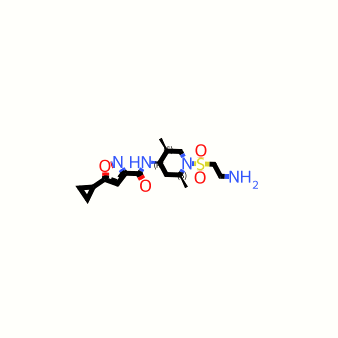 C[C@H]1CN(S(=O)(=O)CCN)[C@@H](C)C[C@H]1NC(=O)c1cc(C2CC2)on1